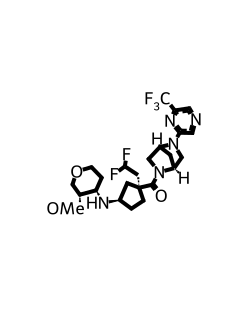 CO[C@@H]1COCC[C@@H]1N[C@@H]1CC[C@](CC(F)F)(C(=O)N2C[C@@H]3C[C@H]2CN3c2cncc(C(F)(F)F)n2)C1